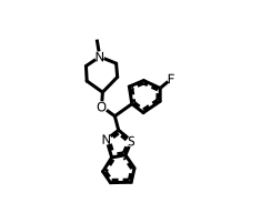 CN1CCC(OC(c2ccc(F)cc2)c2nc3ccccc3s2)CC1